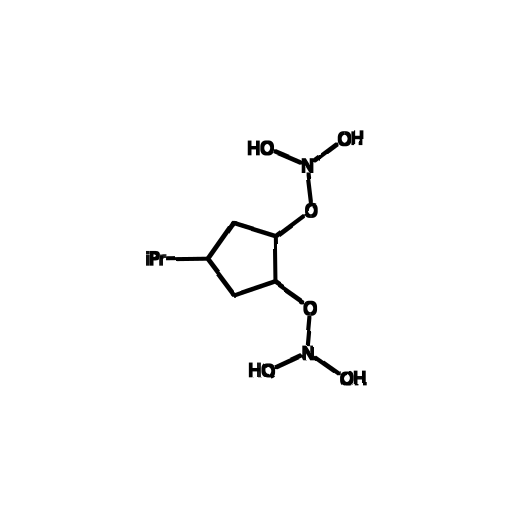 CC(C)C1CC(ON(O)O)C(ON(O)O)C1